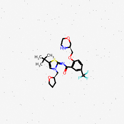 CC(C)(C)c1cn(C[C@H]2CCCO2)c(=NC(=O)c2cc(C(F)(F)F)ccc2OC[C@@H]2COCCN2)s1